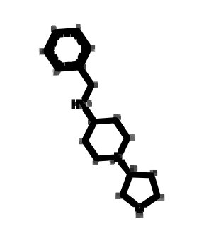 c1ccc(CNC2CCN([C@H]3CCOC3)CC2)cc1